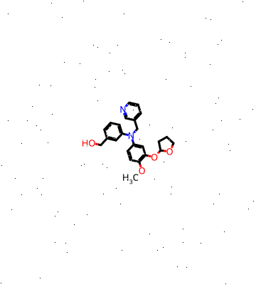 COc1ccc(N(Cc2cccnc2)c2cccc(CO)c2)cc1OC1CCCO1